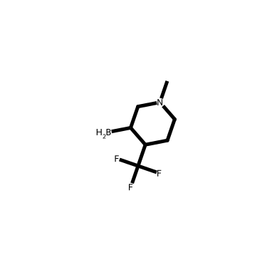 BC1CN(C)CCC1C(F)(F)F